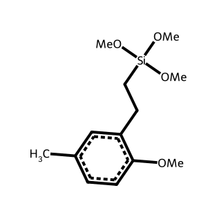 COc1ccc(C)cc1CC[Si](OC)(OC)OC